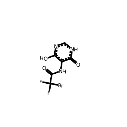 O=C(Nc1c(O)nc[nH]c1=O)C(F)(F)Br